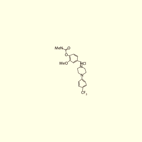 CNC(=O)Oc1ccc(CN2CCN(c3ccc(C(F)(F)F)cc3)CC2)cc1OC.Cl